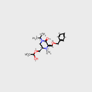 CC(O)OC[C@H]1CN(C(C)C)C(=O)/C(=C\OCc2ccccc2)N1C